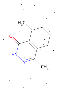 Cc1n[nH]c(=O)c2c1CCCC2C